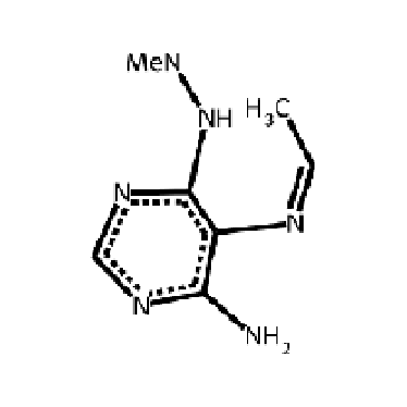 C/C=N\c1c(N)ncnc1NNC